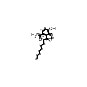 CCCCCCCCC(=O)c1c(C(N)=O)ccc(O)c1OC